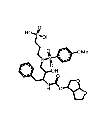 COc1ccc(S(=O)(=O)N(CCCP(=O)(O)O)CC(O)C(Cc2ccccc2)NC(=O)OC2COC3OCCC23)cc1